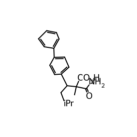 CC(C)CC(c1ccc(-c2ccccc2)cc1)C(C)(C(N)=O)C(=O)O